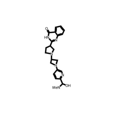 CNC(O)c1ccc(N2CC(N3CCC(c4nc5ccccc5c(=O)[nH]4)C3)C2)cn1